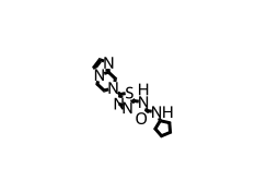 O=C(Nc1nnc(N2CCn3ccnc3C2)s1)NC1CCCC1